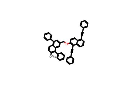 COc1ccc2c(-c3ccccc3)cc(COc3ccc4c(C#Cc5ccccc5)cccc4c3C#Cc3ccccc3)cc2c1-c1ccccc1